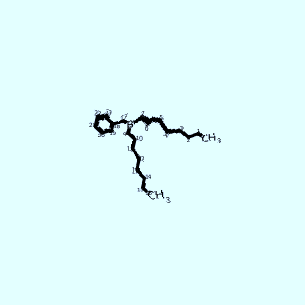 CCCCCCCCB(CCCCCCCC)Cc1ccccc1